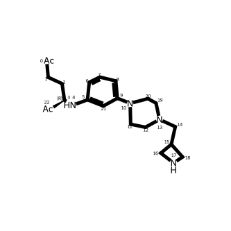 CC(=O)CC[C@@H](Nc1cccc(N2CCN(CC3CNC3)CC2)c1)C(C)=O